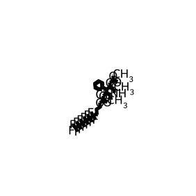 COC(=O)OC1=C(C)NC(C)=C(OC(=O)OCCCC(F)(F)C(F)(F)C(F)(F)C(F)(F)C(F)(F)C(F)(F)F)C1c1ccccc1Cl